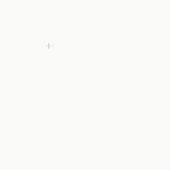 CC(C)(C)c1ccc(O)c(Cc2ccccc2)c1